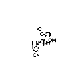 N#Cc1cnc(Nc2cc(-c3c(O)cccc3OC3CCC3)[nH]n2)cn1